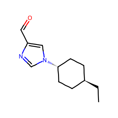 CC[C@H]1CC[C@H](n2cnc(C=O)c2)CC1